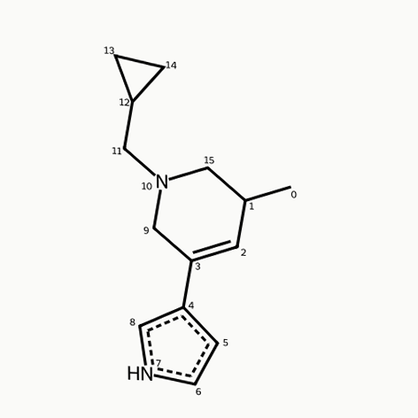 CC1C=C(c2cc[nH]c2)CN(CC2CC2)C1